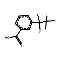 O=C(O)c1cccc(C(F)(F)C(F)(F)F)c1